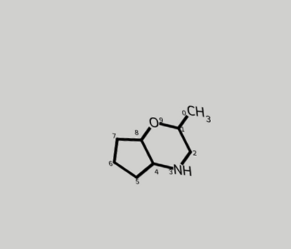 CC1CNC2CCCC2O1